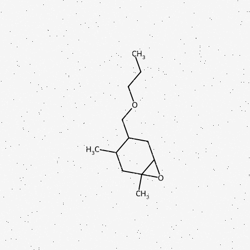 CCCOCC1CC2OC2(C)CC1C